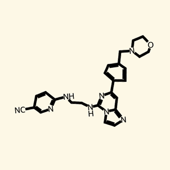 N#Cc1ccc(NCCNc2nc(-c3ccc(CN4CCOCC4)cc3)cc3nccn23)nc1